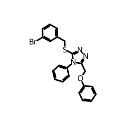 Brc1cccc(CSc2nnc(COc3ccccc3)n2-c2ccccc2)c1